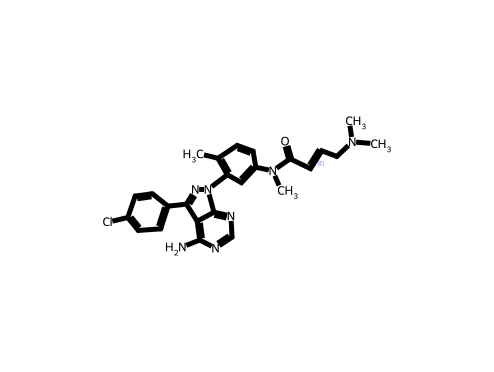 Cc1ccc(N(C)C(=O)/C=C/CN(C)C)cc1-n1nc(-c2ccc(Cl)cc2)c2c(N)ncnc21